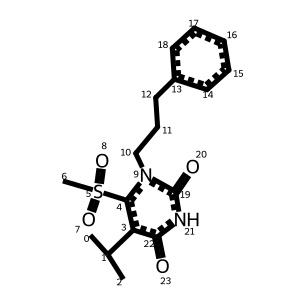 CC(C)c1c(S(C)(=O)=O)n(CCCc2ccccc2)c(=O)[nH]c1=O